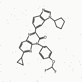 O=c1c(-c2ccc3ncn(C4CCCC4)c3c2)nc2ccc(C3CC3)nc2n1-c1ccc(OC(F)F)cc1